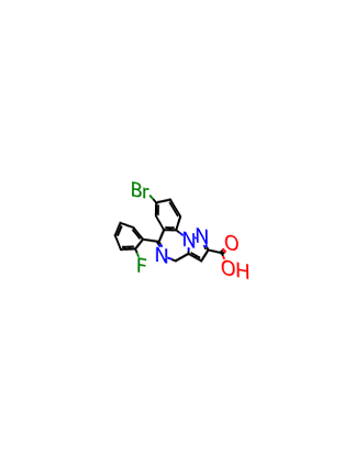 O=C(O)c1cc2n(n1)-c1ccc(Br)cc1C(c1ccccc1F)=NC2